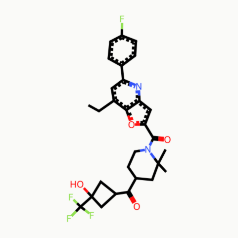 CCc1cc(-c2ccc(F)cc2)nc2cc(C(=O)N3CCC(C(=O)C4CC(O)(C(F)(F)F)C4)CC3(C)C)oc12